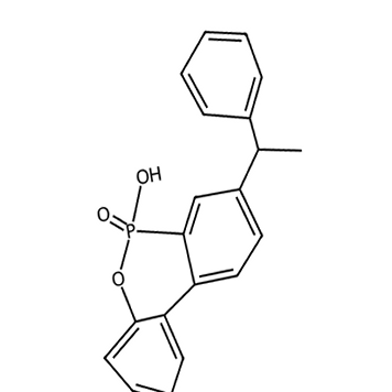 CC(c1ccccc1)c1ccc2c(c1)P(=O)(O)Oc1ccccc1-2